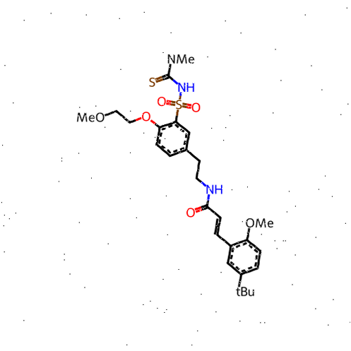 CNC(=S)NS(=O)(=O)c1cc(CCNC(=O)C=Cc2cc(C(C)(C)C)ccc2OC)ccc1OCCOC